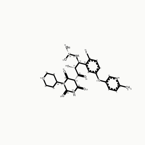 Cc1ccc(Oc2ccc(F)c([C@H](N[S@+]([O-])C(C)(C)C)[C@@H](F)C(=O)[C@@H]3C(=O)NC(=O)N(C4CCOCC4)C3=O)c2)cn1